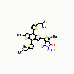 CCCCCCCCN1C(=O)c2c(-c3cc4c(-c5ccc(CC(CC)CCCC)s5)c5sc(C(C)(C)C)cc5c(-c5ccc(CC(CC)CCCC)s5)c4s3)sc(C(C)(C)C)c2C1=O